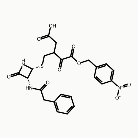 O=C(O)CC(CS[C@H]1NC(=O)[C@H]1NC(=O)Cc1ccccc1)C(=O)C(=O)OCc1ccc([N+](=O)[O-])cc1